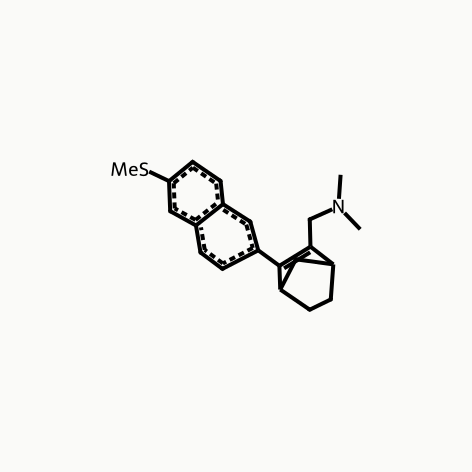 CSc1ccc2cc(C3=C(CN(C)C)C4CCC3C4)ccc2c1